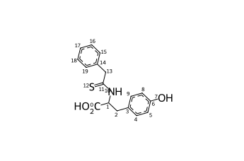 O=C(O)C(Cc1ccc(O)cc1)NC(=S)Cc1ccccc1